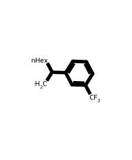 [CH2]C(CCCCCC)c1cccc(C(F)(F)F)c1